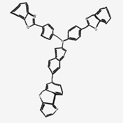 c1ccc2oc(-c3ccc(N(c4ccc(-c5nc6ccccc6o5)cc4)c4ccc5cc(-c6ccc7c(c6)sc6cccnc67)ccc5c4)cc3)nc2c1